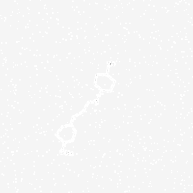 CCCCCCC1CCC(CCCOC2CCC(CCC)CC2)CC1